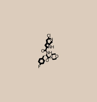 O=C(N[C@@H](Cc1ccc(F)cc1)C(=O)N1CCOCC1)c1cc2cc(Cl)ncc2[nH]1